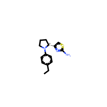 CCc1ccc(N2CCC[C@@H]2c2csc(N)n2)cc1